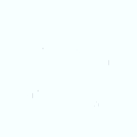 ClC1=C2[C]([Zr+3])=CC=C2C(Cl)S1.[Cl-].[Cl-].[Cl-]